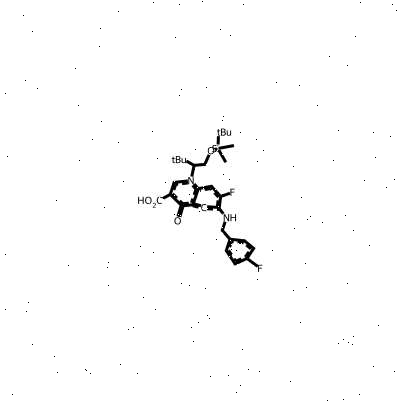 CC(C)(C)C(CO[Si](C)(C)C(C)(C)C)n1cc(C(=O)O)c(=O)c2cc(NCc3ccc(F)cc3)c(F)cc21